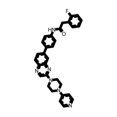 O=C(Cc1ccccc1F)Nc1ccc(-c2ccc3ncc(N4CCN(c5ccncc5)CC4)nc3c2)cc1